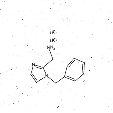 Cl.Cl.NCc1nccn1Cc1ccccc1